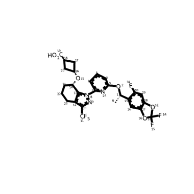 C[C@H](Oc1cccc(-n2nc(C(F)(F)F)c3c2[C@@H](O[C@H]2C[C@H](C(=O)O)C2)CCC3)n1)c1cc2c(cc1F)OC(F)(F)O2